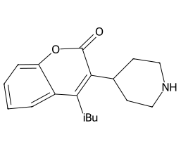 CCC(C)c1c(C2CCNCC2)c(=O)oc2ccccc12